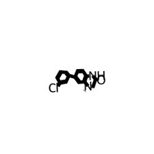 CN1CC(=O)Nc2ccc(-c3cccc(Cl)c3)cc21